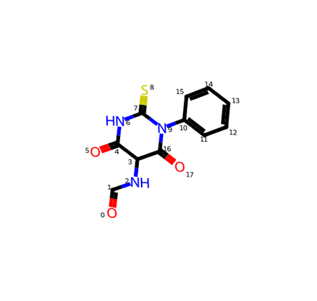 O=CNC1C(=O)NC(=S)N(c2ccccc2)C1=O